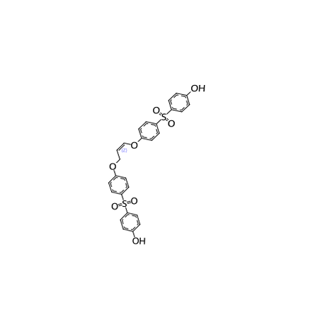 O=S(=O)(c1ccc(O)cc1)c1ccc(O/C=C\COc2ccc(S(=O)(=O)c3ccc(O)cc3)cc2)cc1